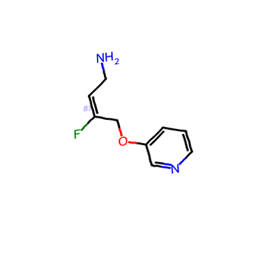 NC/C=C(/F)COc1cccnc1